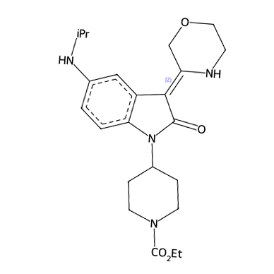 CCOC(=O)N1CCC(N2C(=O)/C(=C3/COCCN3)c3cc(NC(C)C)ccc32)CC1